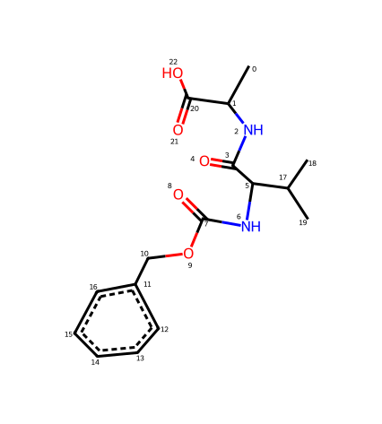 CC(NC(=O)C(NC(=O)OCc1ccccc1)C(C)C)C(=O)O